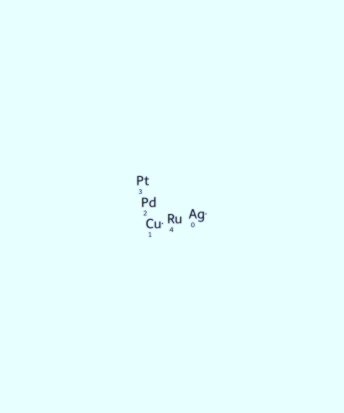 [Ag].[Cu].[Pd].[Pt].[Ru]